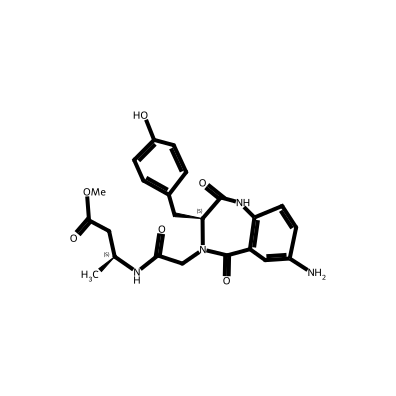 COC(=O)C[C@H](C)NC(=O)CN1C(=O)c2cc(N)ccc2NC(=O)[C@@H]1Cc1ccc(O)cc1